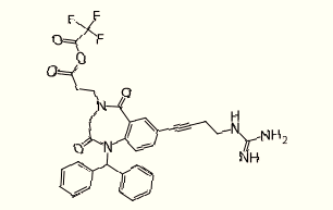 N=C(N)NCCC#Cc1ccc2c(c1)C(=O)N(CCC(=O)OC(=O)C(F)(F)F)CC(=O)N2C(c1ccccc1)c1ccccc1